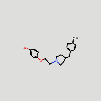 CCCCc1ccc(CC2CCN(CCOc3ccc(O)cc3)CC2)cc1